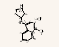 Cl.Oc1ccc(NC2CCNC2)c2cccnc12